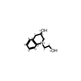 OCCN1CC(O)Cc2[c]cccc21